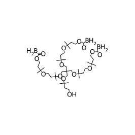 BC(=O)OCCC(C)(C)OCCC(C)(C)OCC(COC(C)(C)CCO)(COC(C)(C)CCOC(C)(C)CCOC(B)=O)COC(C)(C)CCOC(C)(C)CCOC(B)=O